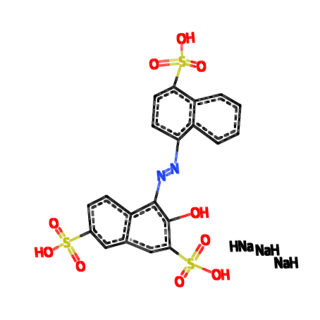 O=S(=O)(O)c1ccc2c(N=Nc3ccc(S(=O)(=O)O)c4ccccc34)c(O)c(S(=O)(=O)O)cc2c1.[NaH].[NaH].[NaH]